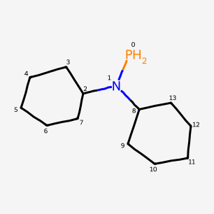 PN(C1CCCCC1)C1CCCCC1